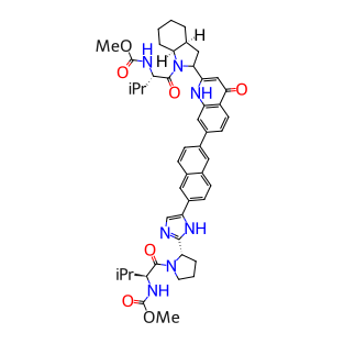 COC(=O)N[C@H](C(=O)N1CCC[C@H]1c1ncc(-c2ccc3cc(-c4ccc5c(=O)cc(C6C[C@@H]7CCCC[C@@H]7N6C(=O)[C@@H](NC(=O)OC)C(C)C)[nH]c5c4)ccc3c2)[nH]1)C(C)C